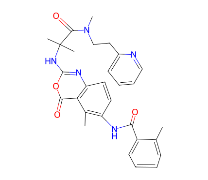 Cc1ccccc1C(=O)Nc1ccc2nc(NC(C)(C)C(=O)N(C)CCc3ccccn3)oc(=O)c2c1C